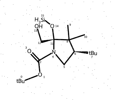 CC(C)(C)OC(=O)N1C[C@H](C(C)(C)C)C(C)(C)[C@@]1(CO)O[SiH3]